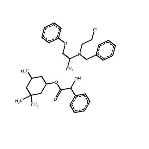 CC(COc1ccccc1)N(CCCl)Cc1ccccc1.CC1CC(OC(=O)C(O)c2ccccc2)CC(C)(C)C1